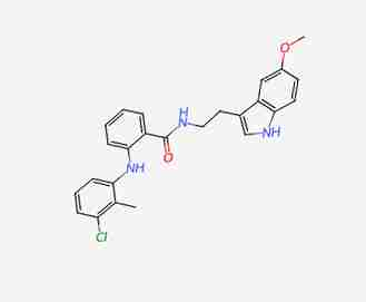 COc1ccc2[nH]cc(CCNC(=O)c3ccccc3Nc3cccc(Cl)c3C)c2c1